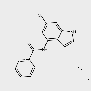 O=C(Nc1cc(Cl)cc2[nH]ccc12)c1ccccc1